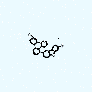 Clc1cccc(-c2ccccc2-c2ccccc2-c2ccc3oc4cc(Br)ccc4c3c2)c1